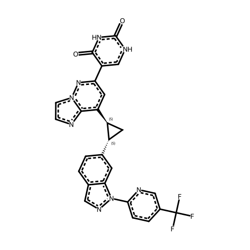 O=c1[nH]cc(-c2cc([C@H]3C[C@@H]3c3ccc4cnn(-c5ccc(C(F)(F)F)cn5)c4c3)c3nccn3n2)c(=O)[nH]1